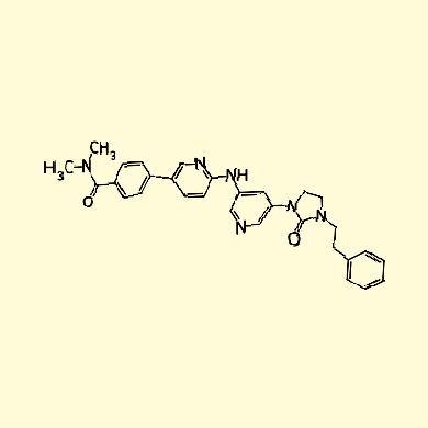 CN(C)C(=O)c1ccc(-c2ccc(Nc3cncc(N4CCN(CCc5ccccc5)C4=O)c3)nc2)cc1